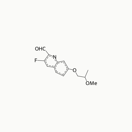 COC(C)COc1ccc2cc(F)c(C=O)nc2c1